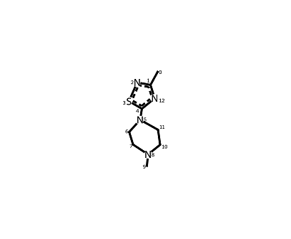 Cc1nsc(N2CCN(C)CC2)n1